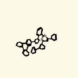 c1ccc(-c2cccc(-c3cc(-c4ccccc4)nc(-c4ccccc4-c4cccc(-c5ccc6c7ccccc7c7ccccc7c6c5)c4)n3)c2)cc1